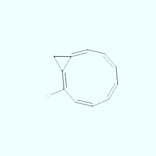 Nc1cccccccc2c1C2